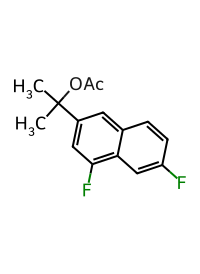 CC(=O)OC(C)(C)c1cc(F)c2cc(F)ccc2c1